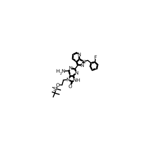 CC(C)(C)[Si](C)(C)OCCn1c(=O)[nH]c2nc(-c3nn(Cc4ccccc4F)c4ncccc34)nc(N)c21